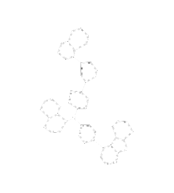 c1cc(-c2ccc(N(c3ccc(-c4cccc5oc6ccccc6c45)cc3)c3cccc4ccccc34)cc2)cc(-c2cccc3ccccc23)c1